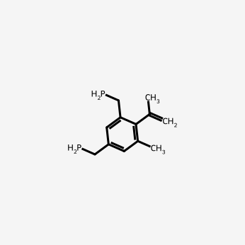 C=C(C)c1c(C)cc(CP)cc1CP